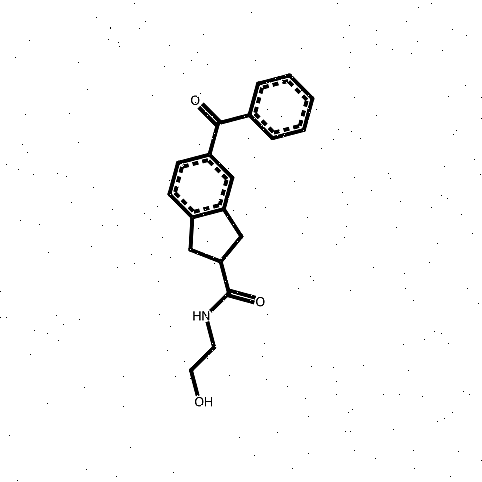 O=C(c1ccccc1)c1ccc2c(c1)CC(C(=O)NCCO)C2